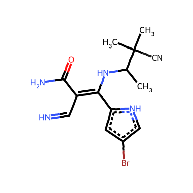 CC(N/C(=C(/C=N)C(N)=O)c1cc(Br)c[nH]1)C(C)(C)C#N